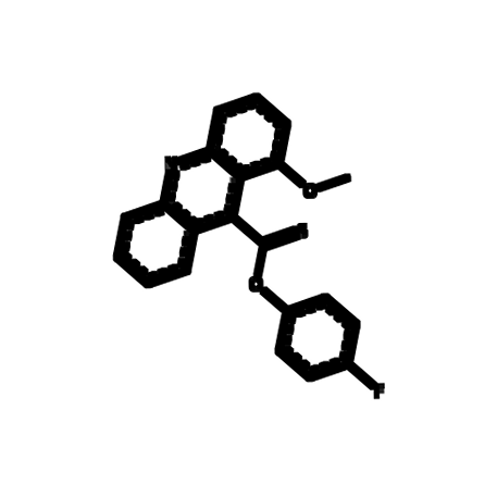 COc1cccc2nc3ccccc3c(C(=S)Oc3ccc(F)cc3)c12